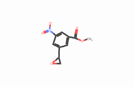 COC(=O)c1cc(C2CO2)cc([N+](=O)[O-])c1